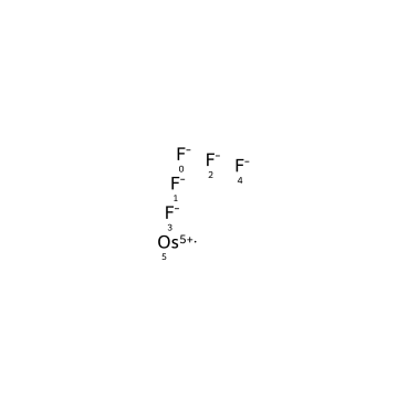 [F-].[F-].[F-].[F-].[F-].[Os+5]